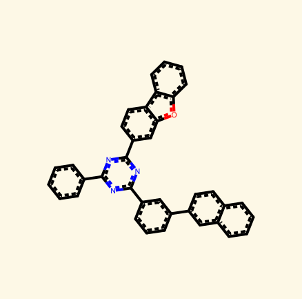 c1ccc(-c2nc(-c3cccc(-c4ccc5ccccc5c4)c3)nc(-c3ccc4c(c3)oc3ccccc34)n2)cc1